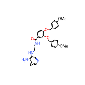 COc1ccc(COc2ccc(C(=O)NCCNC3=C(N)/C=C/C=C/N=C\3)cc2OCc2ccc(OC)cc2)cc1